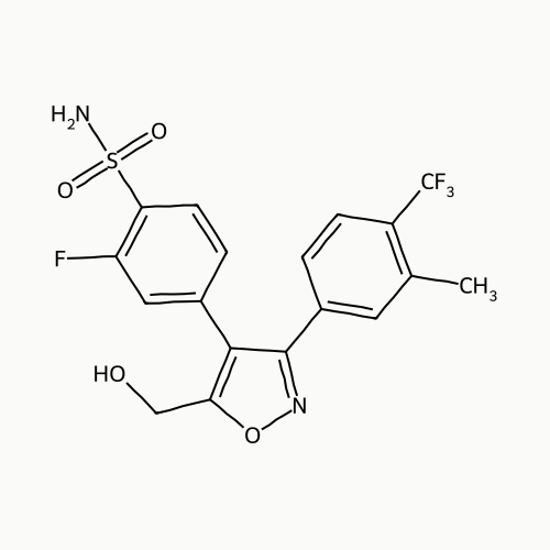 Cc1cc(-c2noc(CO)c2-c2ccc(S(N)(=O)=O)c(F)c2)ccc1C(F)(F)F